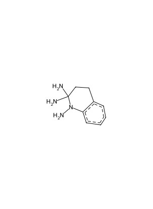 NN1c2ccccc2CCC1(N)N